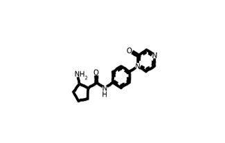 NC1CCCC1C(=O)Nc1ccc(-n2ccncc2=O)cc1